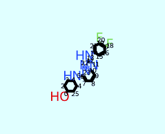 O[C@H]1CC[C@@H](Nc2cccc3nc(Nc4ccc(F)c(F)c4)nn23)CC1